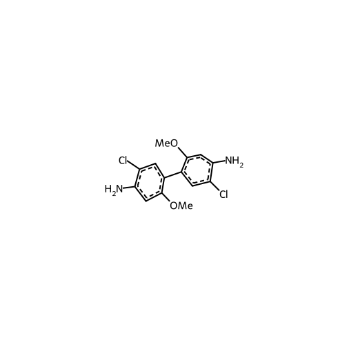 COc1cc(N)c(Cl)cc1-c1cc(Cl)c(N)cc1OC